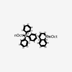 CCCCCCCC[B-](c1ccccc1)(c1ccccc1)c1ccccc1.CCCCCCCC[n+]1cccc2ccccc21